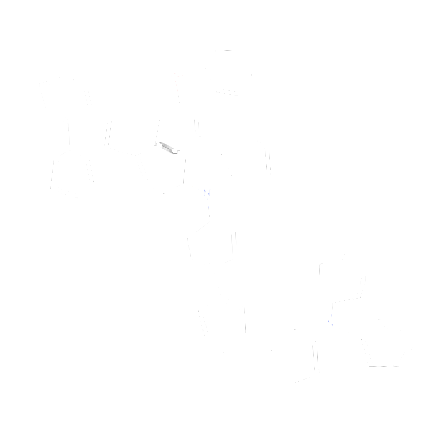 c1cc(-c2ccc(N(c3ccc(-c4cc5ccccc5c5ccccc45)cc3)c3ccccc3-c3cccc4oc5ccccc5c34)cc2)cc(-c2cccc(-n3c4ccccc4c4ccccc43)c2)c1